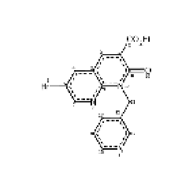 CCOC(=O)c1cc2cc(Br)cnc2n(Cc2cccnc2)c1=O